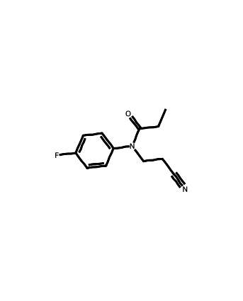 CCC(=O)N(CCC#N)c1ccc(F)cc1